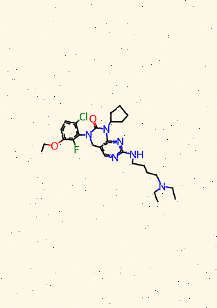 CCOc1ccc(Cl)c(N2Cc3cnc(NCCCCN(CC)CC)nc3N(C3CCCC3)C2=O)c1F